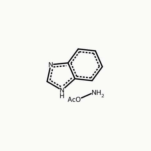 CC(=O)ON.c1ccc2[nH]cnc2c1